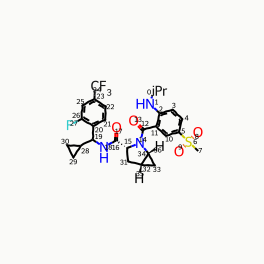 CC(C)Nc1ccc(S(C)(=O)=O)cc1C(=O)N1[C@@H](C(=O)NC(c2ccc(C(F)(F)F)cc2F)C2CC2)C[C@H]2C[C@H]21